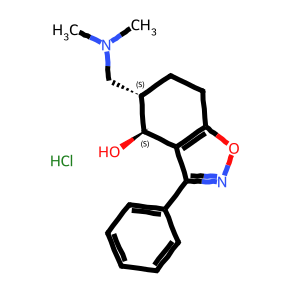 CN(C)C[C@@H]1CCc2onc(-c3ccccc3)c2[C@H]1O.Cl